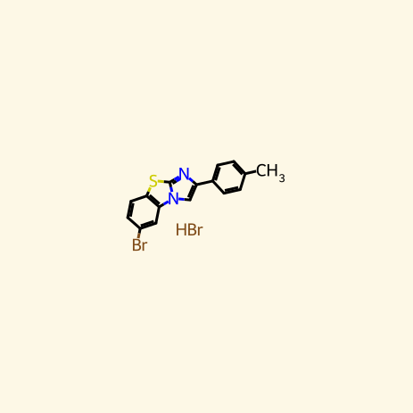 Br.Cc1ccc(-c2cn3c(n2)sc2ccc(Br)cc23)cc1